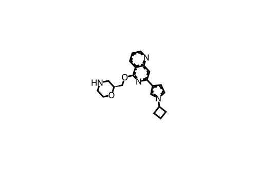 c1cnc2cc(-c3ccn(C4CCC4)c3)nc(OC[C@@H]3CNCCO3)c2c1